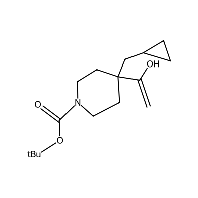 C=C(O)C1(CC2CC2)CCN(C(=O)OC(C)(C)C)CC1